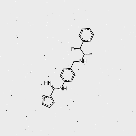 C[C@H](NCc1ccc(NC(=N)c2cccs2)cc1)[C@@H](F)c1ccccc1